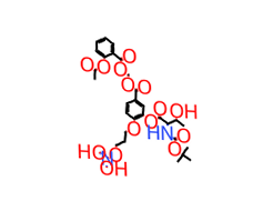 CC(=O)Oc1ccccc1C(=O)OCOC(=O)c1ccc(OCCCON(O)O)c(OC(=O)C(NC(=O)OC(C)(C)C)C(C)O)c1